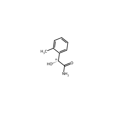 Cc1ccccc1[C@@H](O)C(N)=O